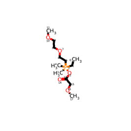 CCP(C)(C)(CCOCCOC)OC(=O)COC